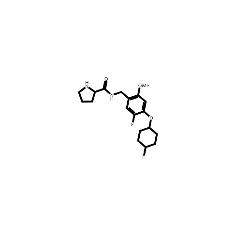 COc1cc(OC2CCC(F)CC2)c(F)cc1CNC(=O)C1CCCN1